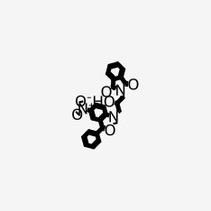 CN(CC(O)CN1C(=O)c2ccccc2C1=O)c1ccc([N+](=O)[O-])cc1C(=O)c1ccccc1